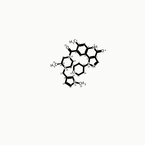 Cc1cc2[nH]c(=O)c3cnn(C4CCOCC4)c3c2cc1C(=O)N1CCN(Cc2ccn(C)c2)[C@@H](C)C1